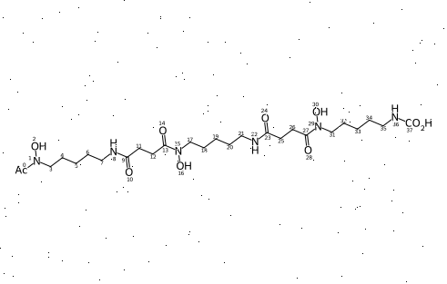 CC(=O)N(O)CCCCCNC(=O)CCC(=O)N(O)CCCCCNC(=O)CCC(=O)N(O)CCCCCNC(=O)O